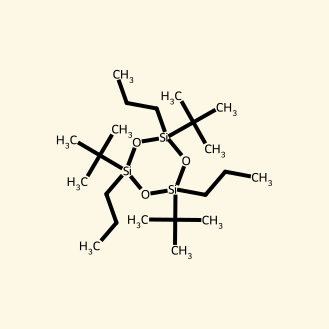 CCC[Si]1(C(C)(C)C)O[Si](CCC)(C(C)(C)C)O[Si](CCC)(C(C)(C)C)O1